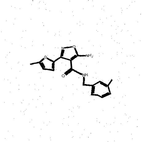 Cc1cccc(CNC(=O)c2c(-c3ccc(C)o3)noc2N)c1